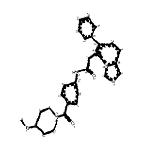 COC1CCN(C(=O)c2ccc(NC(=O)Cc3c(-c4ccccc4)ccc4cncn34)cc2)CC1